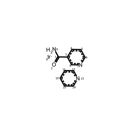 NC(=O)c1cccnc1.[Ir].c1ccncc1